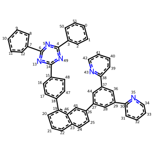 c1ccc(-c2nc(-c3ccccc3)nc(-c3ccc(-c4cccc5ccc(-c6cc(-c7ccccn7)cc(-c7ccccn7)c6)cc45)cc3)n2)cc1